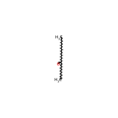 CCCCCCCCCCCCCCCCCCC([C]=O)CCCCCCCCCCCC